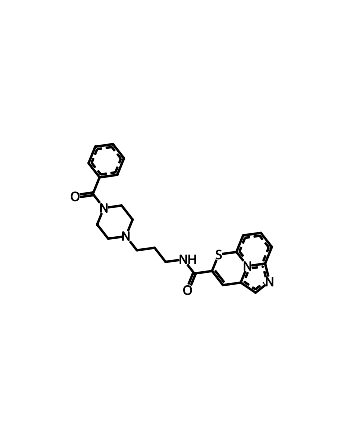 O=C(NCCCN1CCN(C(=O)c2ccccc2)CC1)C1=Cc2cnc3cccc(n23)S1